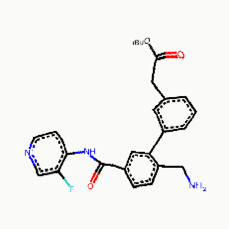 CC(C)COC(=O)Cc1cccc(-c2cc(C(=O)Nc3ccncc3F)ccc2CN)c1